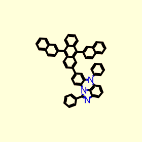 c1ccc(-c2nc3cccc4c3n2-c2ccc(-c3ccc5c(-c6ccc7ccccc7c6)c6ccccc6c(-c6ccc7ccccc7c6)c5c3)cc2N4c2ccccc2)cc1